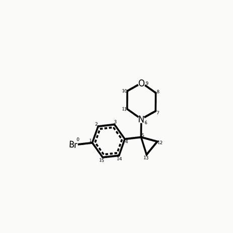 Brc1ccc(C2(N3CCOCC3)CC2)cc1